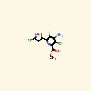 COC(=O)c1nc(C2CC(Cl)=NO2)c(F)c(N)c1Cl